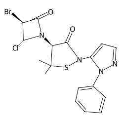 CC1(C)SN(c2ccnn2-c2ccccc2)C(=O)[C@@H]1N1C(=O)[C@H](Br)[C@H]1Cl